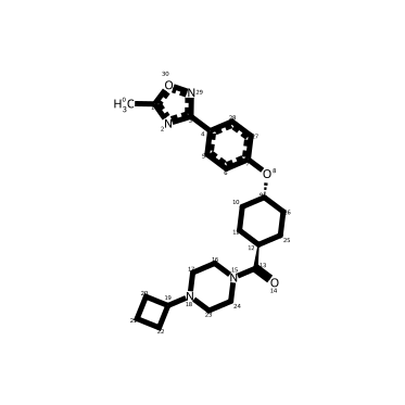 Cc1nc(-c2ccc(O[C@H]3CC[C@H](C(=O)N4CCN(C5CCC5)CC4)CC3)cc2)no1